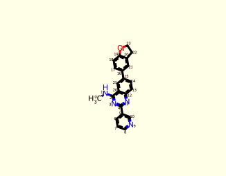 CNc1nc(-c2cccnc2)nc2ccc(-c3ccc4c(c3)CCO4)cc12